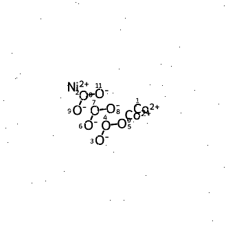 [Co+2].[Co+2].[Ni+2].[O-]O[O-].[O-]O[O-].[O-]O[O-]